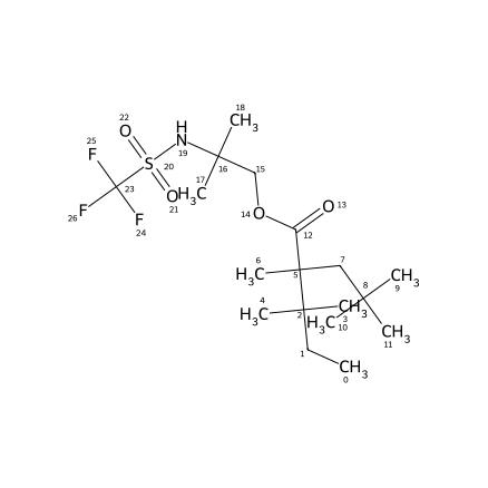 CCC(C)(C)C(C)(CC(C)(C)C)C(=O)OCC(C)(C)NS(=O)(=O)C(F)(F)F